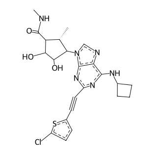 CNC(=O)C1C(O)C(O)C(n2cnc3c(NC4CCC4)nc(C#Cc4ccc(Cl)s4)nc32)[C@H]1C